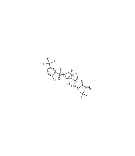 CC(C)(C)C[C@H](N[C@H]1CC[C@@H]2CN(S(=O)(=O)c3cc(C(F)(F)F)ccc3Cl)C[C@@H]21)C(N)=O